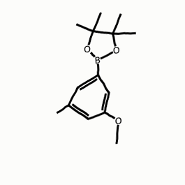 COc1cc(C)cc(B2OC(C)(C)C(C)(C)O2)c1